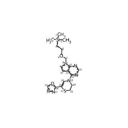 C[Si](C)(C)CCOCn1ccc2c(N3C=C(c4nnco4)SCC3)ncnc21